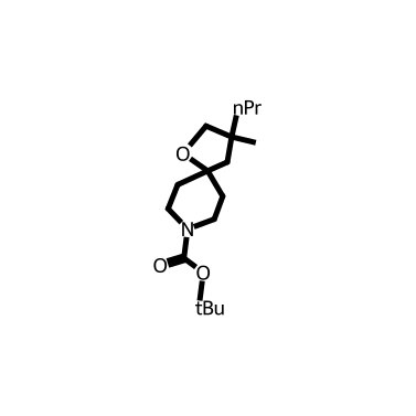 CCCC1(C)COC2(CCN(C(=O)OC(C)(C)C)CC2)C1